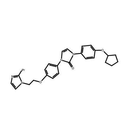 CC(C)c1nccn1CCOc1ccc(-n2ccn(-c3ccc(OC4CCCC4)cc3)c2=O)cc1